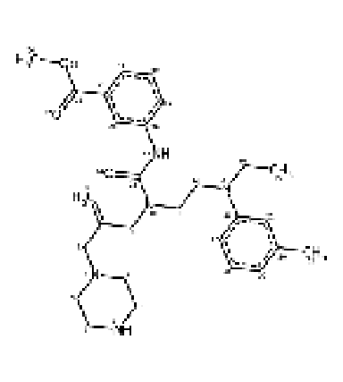 C=C(CN1CCNCC1)CN(CCN(CC)c1cccc(C)c1)C(=O)Nc1cccc(C(=O)OC)c1